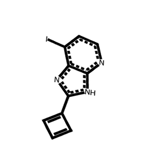 Ic1ccnc2[nH]c(C3=CC=C3)nc12